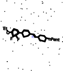 CCCCCC1CCC(/C=C/C2C=CC(c3ccc(OCC)c(F)c3F)CC2)CC1